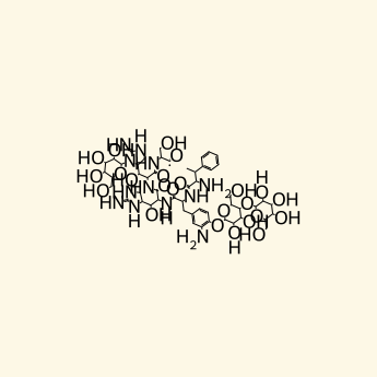 CC(c1ccccc1)C(N)C(=O)NC(Cc1ccc(OC2OC(CO)C(OC3OC(CO)C(O)C(O)C3O)C(O)C2O)c(N)c1)C(=O)NC(C(=O)NC(C(=O)NC([C]=O)CO)C(O)C1CNC(=N)N1C1OC(CO)C(O)C(O)C1O)C(O)C1CNC(=N)N1